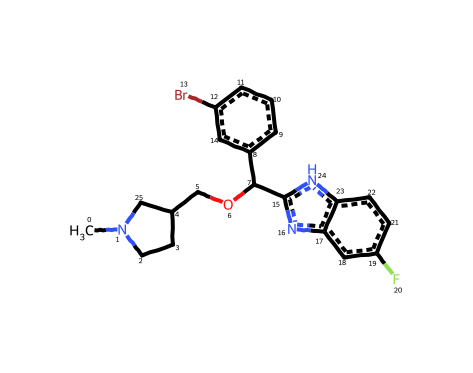 CN1CCC(COC(c2cccc(Br)c2)c2nc3cc(F)ccc3[nH]2)C1